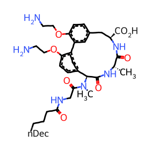 CCCCCCCCCCCCCC(=O)NCC(=O)N(C)[C@@H]1C(=O)N[C@@H](C)C(=O)N[C@H](C(=O)O)Cc2ccc(OCCN)c(c2)-c2cc1ccc2OCCN